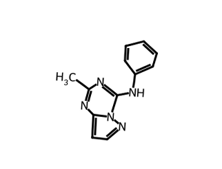 Cc1nc(Nc2ccccc2)n2nccc2n1